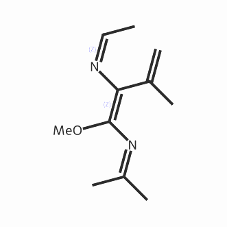 C=C(C)C(/N=C\C)=C(\N=C(C)C)OC